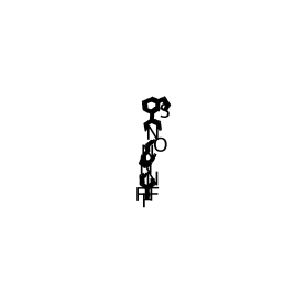 O=C(CN1CC2CC1CN2c1ccc(C(F)(F)F)cn1)N1CC=C(c2cccc3ccsc23)CC1